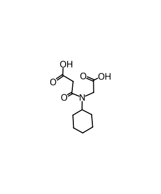 O=C(O)CC(=O)N(CC(=O)O)C1CCCCC1